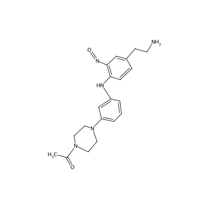 CC(=O)N1CCN(c2cccc(Nc3ccc(CCN)cc3N=O)c2)CC1